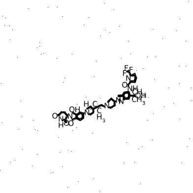 CC(C)(O)c1cc2nn(C3CCN(CCC(C)(C)C4CCN(c5ccc6c(c5)C(O)N(C5CCC(=O)NC5=O)C6=O)CC4)CC3)cc2cc1NC(=O)c1cccc(C(F)(F)F)n1